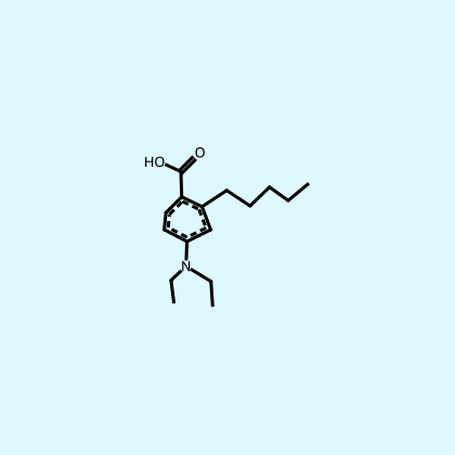 CCCCCc1cc(N(CC)CC)ccc1C(=O)O